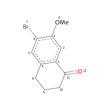 COc1cc2c(cc1Br)CCCC2=O